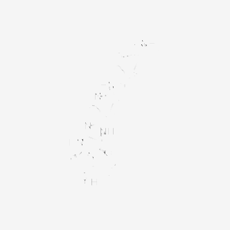 CCC(C1CC1)n1c(=O)[nH]c2nc(-c3ccc(NCc4ccc(CN)cc4)nc3)[nH]c2c1=O